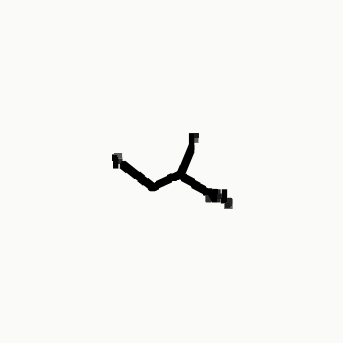 NC(F)CF